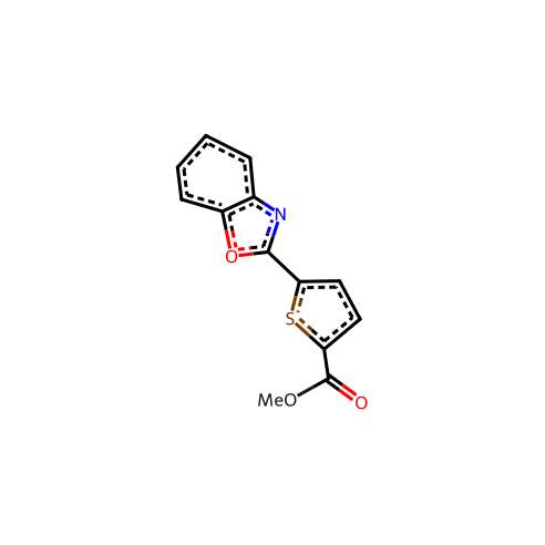 COC(=O)c1ccc(-c2nc3ccccc3o2)s1